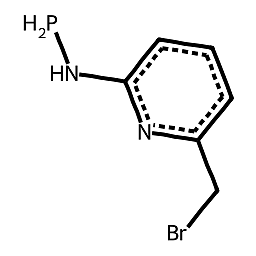 PNc1cccc(CBr)n1